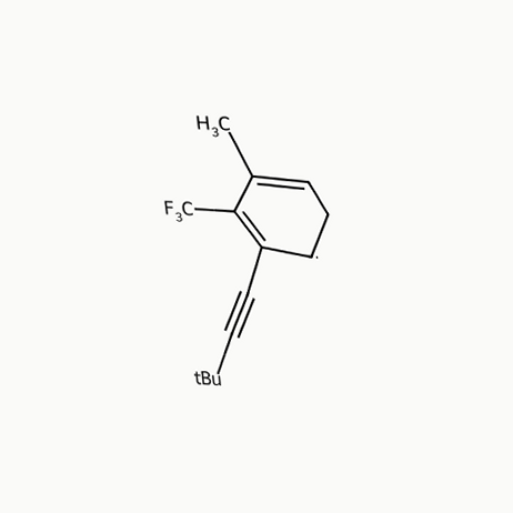 CC1=CC[CH]C(C#CC(C)(C)C)=C1C(F)(F)F